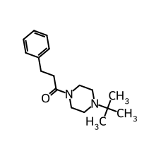 CC(C)(C)N1CCN(C(=O)CCc2ccccc2)CC1